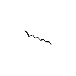 [CH]=C=CCCCC=CC=CC